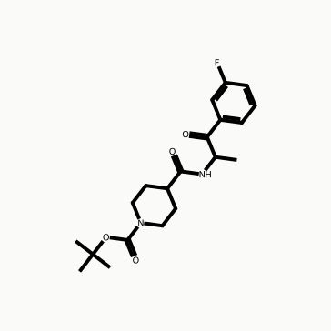 CC(NC(=O)C1CCN(C(=O)OC(C)(C)C)CC1)C(=O)c1cccc(F)c1